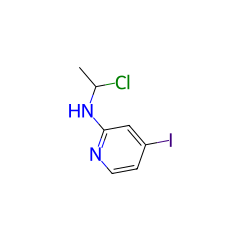 CC(Cl)Nc1cc(I)ccn1